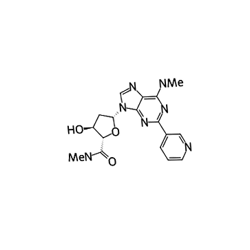 CNC(=O)[C@H]1O[C@@H](n2cnc3c(NC)nc(-c4cccnc4)nc32)C[C@@H]1O